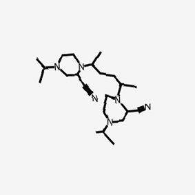 CC(C)N1CCN(C(C)CCC(C)N2CCN(C(C)C)CC2C#N)C(C#N)C1